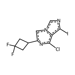 FC1(F)CC(c2cn3cnc(I)c3c(Cl)n2)C1